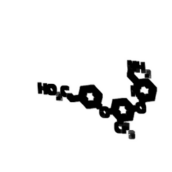 NCc1cccc(Oc2ccc(Oc3cccc(CC(=O)O)c3)c(C(F)(F)F)c2)n1